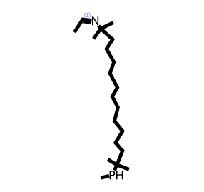 C/C=N\C(C)(C)CCCCCCCCCCCC(C)(C)PC